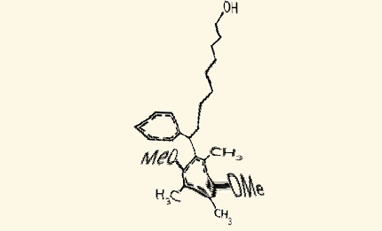 COc1c(C)c(C)c(OC)c(C(CCCCCCCCO)c2ccccc2)c1C